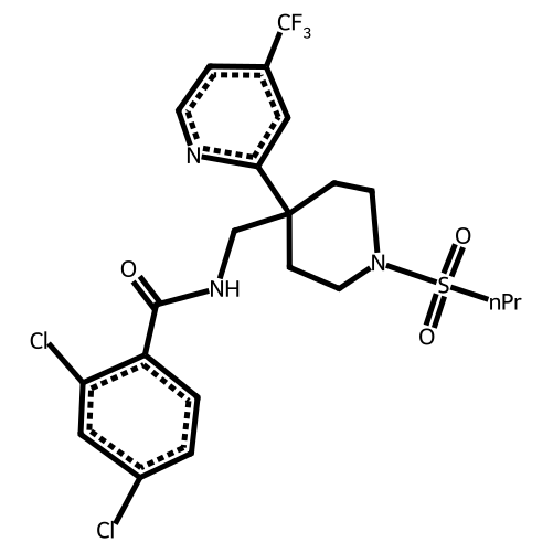 CCCS(=O)(=O)N1CCC(CNC(=O)c2ccc(Cl)cc2Cl)(c2cc(C(F)(F)F)ccn2)CC1